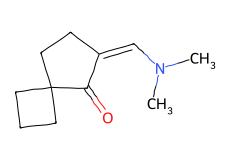 CN(C)C=C1CCC2(CCC2)C1=O